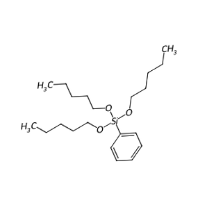 CCCCCO[Si](OCCCCC)(OCCCCC)c1ccccc1